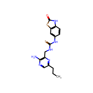 CCCc1cnc(N)c(CNC(=S)Nc2ccc3[nH]c(=O)sc3c2)n1